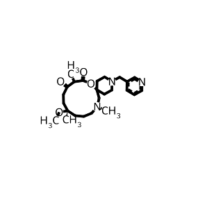 CO[C@]1(C)CCCN(C)CC2(CCN(Cc3cccnc3)CC2)OC(=O)C(C)C(=O)CC1